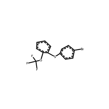 FC(F)(F)Oc1ccccc1Sc1ccc(Br)cc1